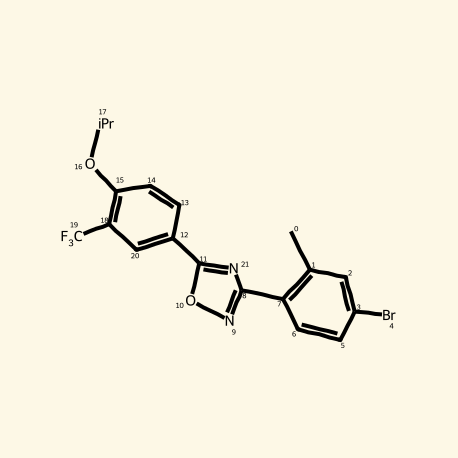 Cc1cc(Br)ccc1-c1noc(-c2ccc(OC(C)C)c(C(F)(F)F)c2)n1